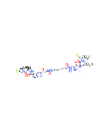 CC(NC(=O)c1ccnc(CNC(=O)CCC(=O)NCCCCCCCC(=O)NCC(N)C(=O)NC(CC(=O)O)C(=O)NC(CS)C(=O)O)c1)C(=O)N1CC(F)(F)C[C@H]1C